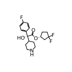 O=C(O[C@@H]1CCC(F)(F)C1)[C@](O)(c1ccc(F)cc1)C1CCNCC1